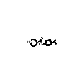 CC(C)c1ccc(NC(=O)N2CCCNCC2)cc1